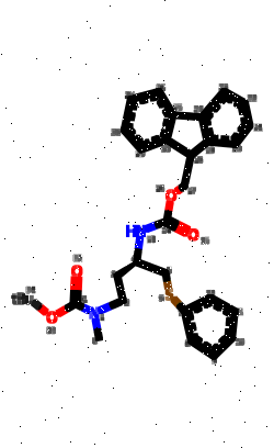 CN(CC[C@H](CSc1ccccc1)NC(=O)OCC1c2ccccc2-c2ccccc21)C(=O)OC(C)(C)C